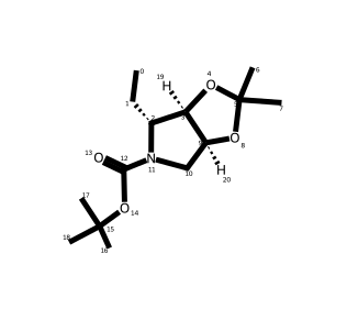 CC[C@@H]1[C@H]2OC(C)(C)O[C@H]2CN1C(=O)OC(C)(C)C